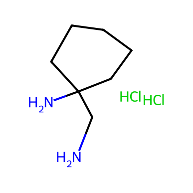 Cl.Cl.NCC1(N)CCCCC1